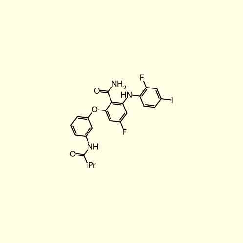 CC(C)C(=O)Nc1cccc(Oc2cc(F)cc(Nc3ccc(I)cc3F)c2C(N)=O)c1